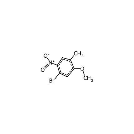 COc1cc(Br)c([N+](=O)[O-])cc1C